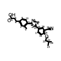 Cc1cc(CCC(=O)O)ccc1-c1nnc(-c2ccc(OCC(C)C)c(C#N)c2)s1